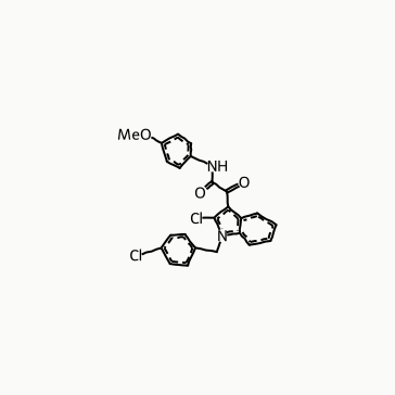 COc1ccc(NC(=O)C(=O)c2c(Cl)n(Cc3ccc(Cl)cc3)c3ccccc23)cc1